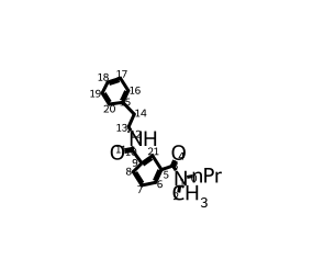 CCCN(C)C(=O)c1cccc(C(=O)N[CH]Cc2ccccc2)c1